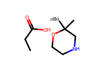 CCC(=O)O.CCCCC1(C)CNCCO1